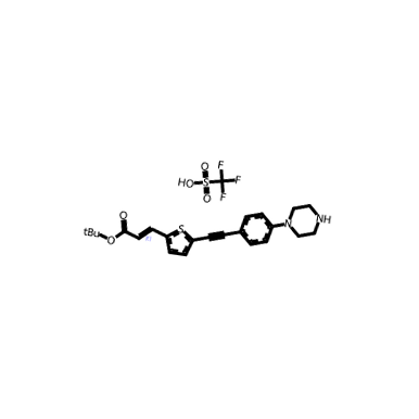 CC(C)(C)OC(=O)/C=C/c1ccc(C#Cc2ccc(N3CCNCC3)cc2)s1.O=S(=O)(O)C(F)(F)F